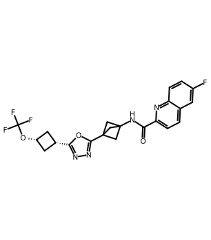 O=C(NC12CC(c3nnc([C@H]4C[C@@H](OC(F)(F)F)C4)o3)(C1)C2)c1ccc2cc(F)ccc2n1